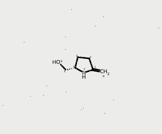 C=C1CC[C@@H](CO)N1